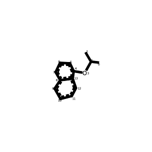 CC(C)Oc1cccc2ccccc12